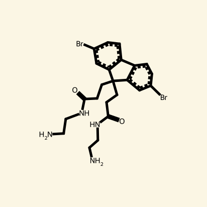 NCCNC(=O)CCC1(CCC(=O)NCCN)c2cc(Br)ccc2-c2ccc(Br)cc21